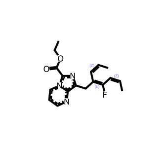 C\C=C/C(F)=C(\C=C/C)Cc1nc(C(=O)OCC)n2cccnc12